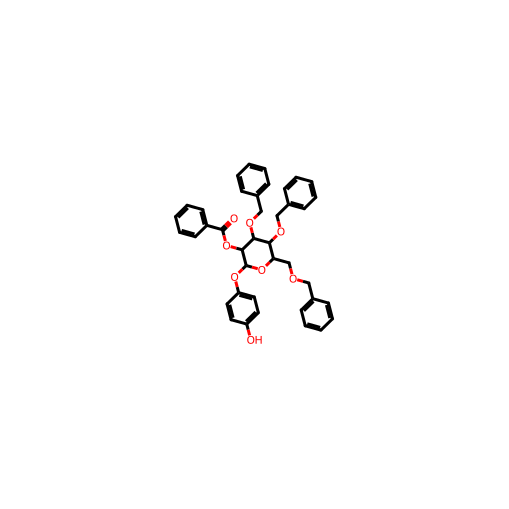 O=C(OC1C(Oc2ccc(O)cc2)OC(COCc2ccccc2)C(OCc2ccccc2)C1OCc1ccccc1)c1ccccc1